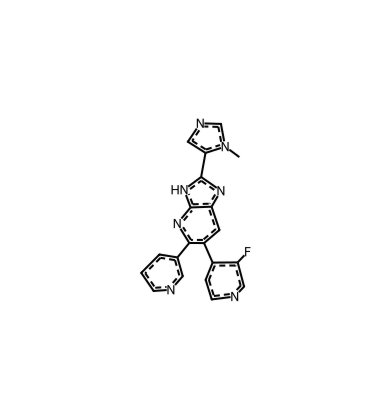 Cn1cncc1-c1nc2cc(-c3ccncc3F)c(-c3cccnc3)nc2[nH]1